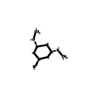 CO[C@@H]1C[C@@H](Br)C[C@H](OC)C1